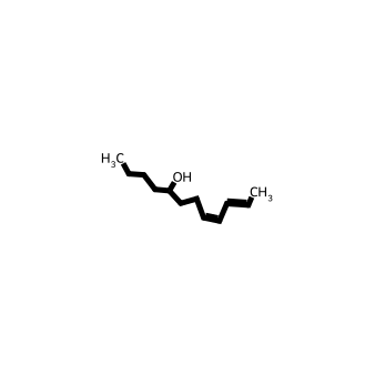 CC=C/C=C\CCC(O)CCCC